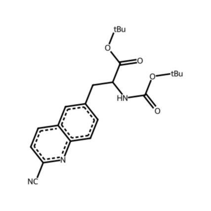 CC(C)(C)OC(=O)NC(Cc1ccc2nc(C#N)ccc2c1)C(=O)OC(C)(C)C